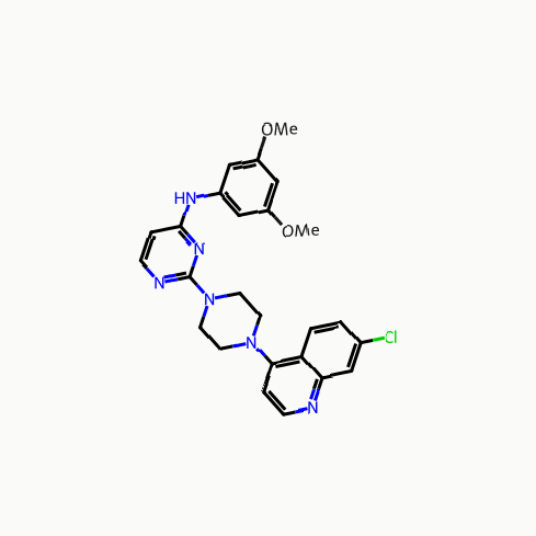 COc1cc(Nc2ccnc(N3CCN(c4ccnc5cc(Cl)ccc45)CC3)n2)cc(OC)c1